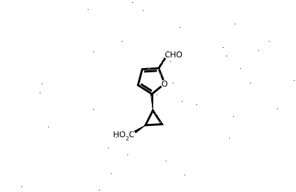 O=Cc1ccc([C@H]2C[C@H]2C(=O)O)o1